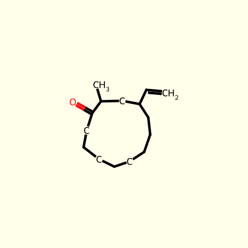 C=CC1CCCCCCCCC(=O)C(C)C1